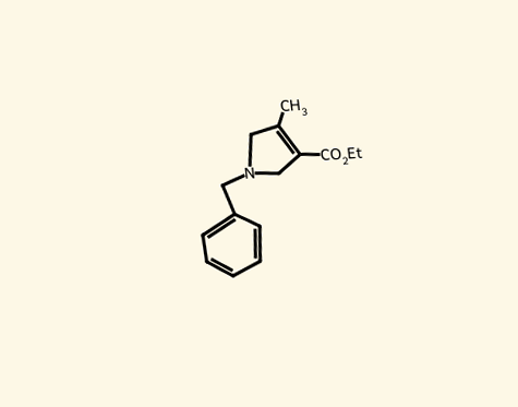 CCOC(=O)C1=C(C)CN(Cc2ccccc2)C1